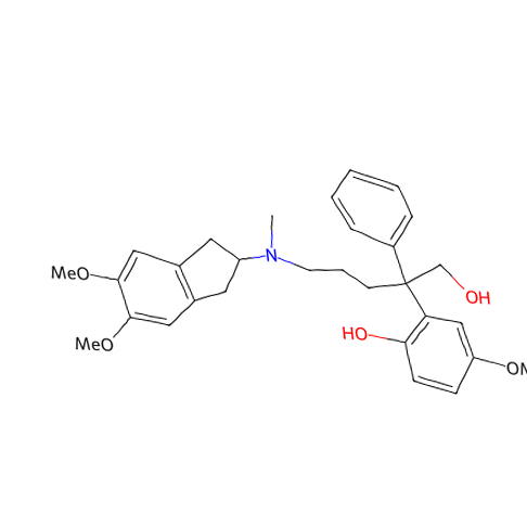 COc1ccc(O)c(C(CO)(CCCN(C)C2Cc3cc(OC)c(OC)cc3C2)c2ccccc2)c1